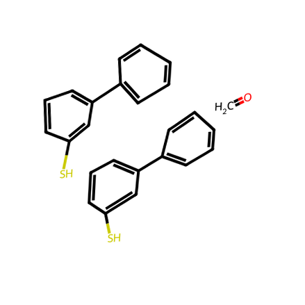 C=O.Sc1cccc(-c2ccccc2)c1.Sc1cccc(-c2ccccc2)c1